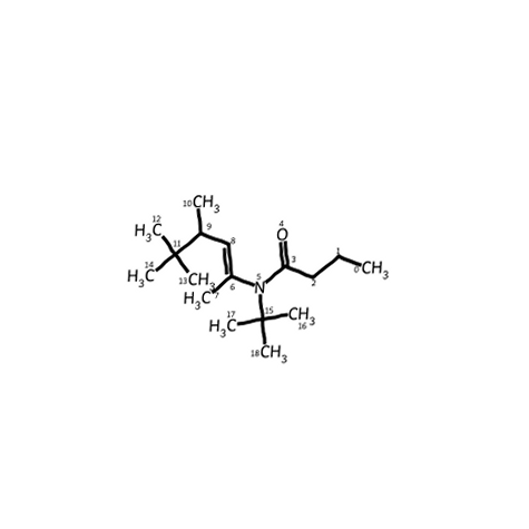 CCCC(=O)N(/C(C)=C/C(C)C(C)(C)C)C(C)(C)C